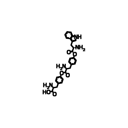 N[C@@H](Cc1ccc(OC(=O)[C@@H](N)Cc2ccc(OC(=O)[C@@H](N)Cc3c[nH]c4ccccc34)cc2)cc1)C(=O)O